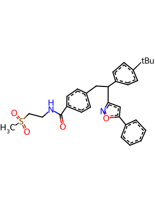 CC(C)(C)c1ccc(C(Cc2ccc(C(=O)NCCS(C)(=O)=O)cc2)c2cc(-c3ccccc3)on2)cc1